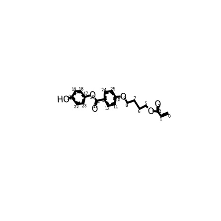 C=CC(=O)OCCCCOc1ccc(C(=O)Oc2ccc(O)cc2)cc1